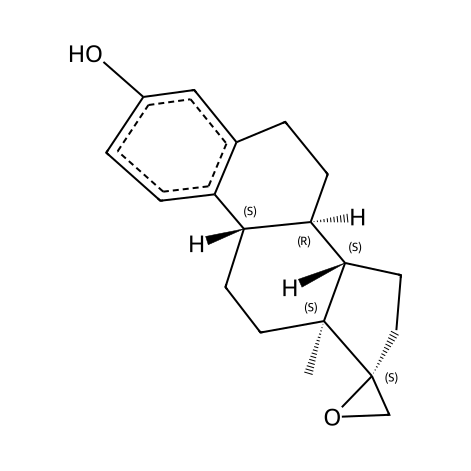 C[C@]12CC[C@@H]3c4ccc(O)cc4CC[C@H]3[C@@H]1CC[C@@]21CO1